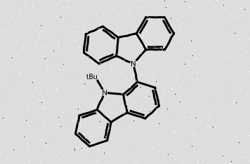 CC(C)(C)n1c2ccccc2c2cccc(-n3c4ccccc4c4ccccc43)c21